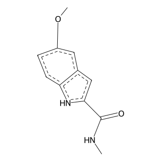 CNC(=O)c1cc2cc(OC)ccc2[nH]1